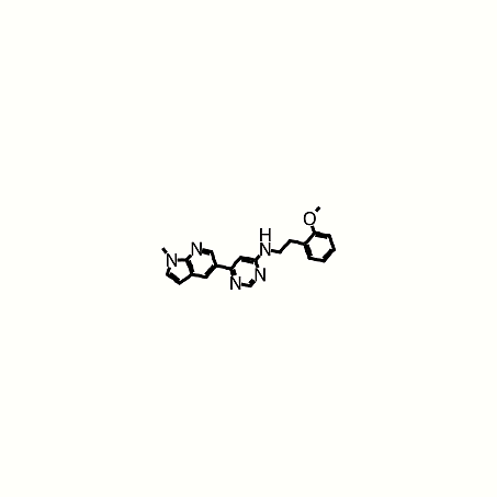 COc1ccccc1CCNc1cc(-c2cnc3c(ccn3C)c2)ncn1